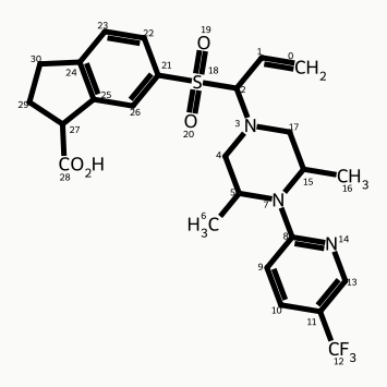 C=CC(N1CC(C)N(c2ccc(C(F)(F)F)cn2)C(C)C1)S(=O)(=O)c1ccc2c(c1)C(C(=O)O)CC2